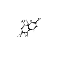 Cc1cc(=O)[nH]c2ccc(I)cc12